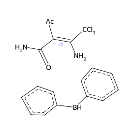 B(c1ccccc1)c1ccccc1.CC(=O)/C(C(N)=O)=C(/N)C(Cl)(Cl)Cl